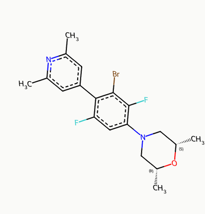 Cc1cc(-c2c(F)cc(N3C[C@@H](C)O[C@@H](C)C3)c(F)c2Br)cc(C)n1